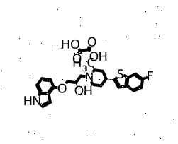 C[C@@H]1C[C@H](c2cc3ccc(F)cc3s2)CCN1C[C@H](O)COc1cccc2[nH]ccc12.O=C(O)C(=O)O